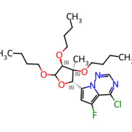 CCCCOC1O[C@@H](c2cc(F)c3c(Cl)ncnn23)[C@](C)(OCCCC)[C@@H]1OCCCC